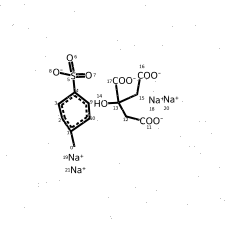 Cc1ccc(S(=O)(=O)[O-])cc1.O=C([O-])CC(O)(CC(=O)[O-])C(=O)[O-].[Na+].[Na+].[Na+].[Na+]